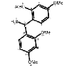 BP(c1ccc(OC)cc1OC)c1ccc(OC)cc1OC